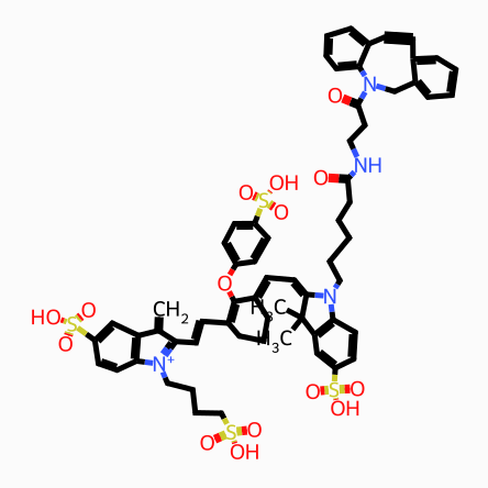 C=C1C(/C=C/C2=C(Oc3ccc(S(=O)(=O)O)cc3)C(=C/C=C3/N(CCCCCC(=O)NCCC(=O)N4Cc5ccccc5C#Cc5ccccc54)c4ccc(S(=O)(=O)O)cc4C3(C)C)/CCC2)=[N+](CCCCS(=O)(=O)O)c2ccc(S(=O)(=O)O)cc21